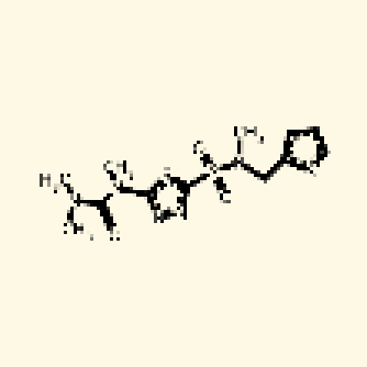 CN(C)C(=O)N(C)c1nnc(S(=O)(=O)N(C)Cc2cccs2)s1